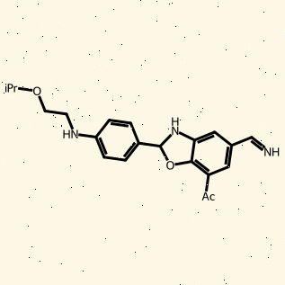 CC(=O)c1cc(C=N)cc2c1OC(c1ccc(NCCOC(C)C)cc1)N2